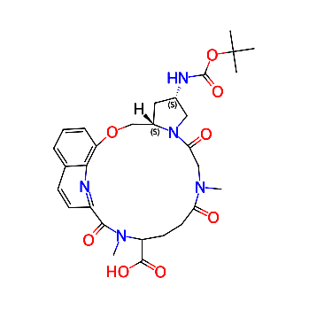 CN1CC(=O)N2C[C@@H](NC(=O)OC(C)(C)C)C[C@H]2COc2cccc3ccc(nc23)C(=O)N(C)C(C(=O)O)CCC1=O